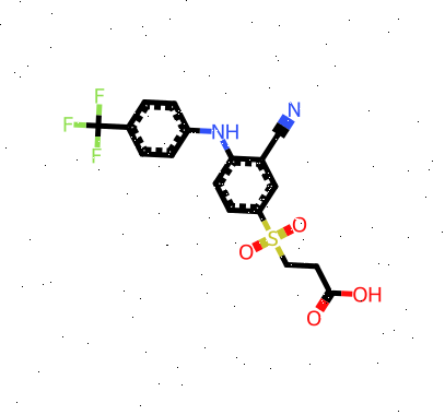 N#Cc1cc(S(=O)(=O)CCC(=O)O)ccc1Nc1ccc(C(F)(F)F)cc1